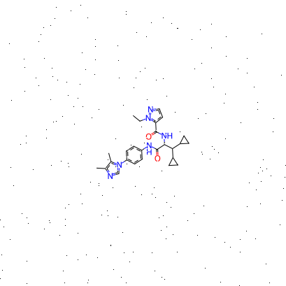 CCn1nccc1C(=O)NC(C(=O)Nc1ccc(-n2cnc(C)c2C)cc1)C(C1CC1)C1CC1